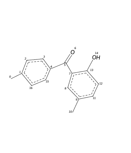 Cc1ccc(C(=O)c2cc(C)ccc2O)cc1